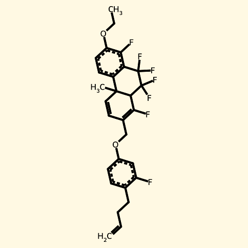 C=CCCc1ccc(OCC2=C(F)C3C(C)(C=C2)c2ccc(OCC)c(F)c2C(F)(F)C3(F)F)cc1F